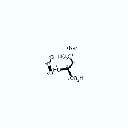 O=C(O)CC(O)C(=O)O.O=P[O-].[Na+]